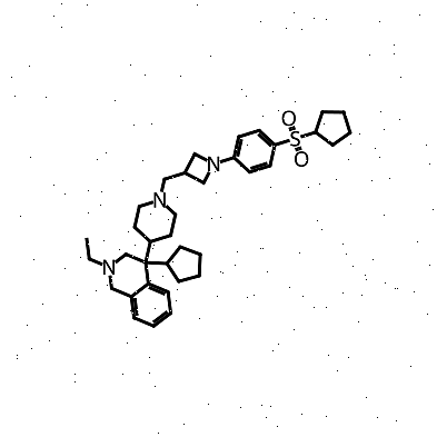 CCN1Cc2ccccc2C(C2CCCC2)(C2CCN(CC3CN(c4ccc(S(=O)(=O)C5CCCC5)cc4)C3)CC2)C1